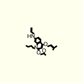 C=CCNc1ccc2c(OCC=C(C)C)c(OC(C)C)c(=O)n(CCCC)c2c1